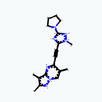 Cc1cn2nc(C)c(C)c2nc1C#Cc1nc(N2CCCC2)nn1C